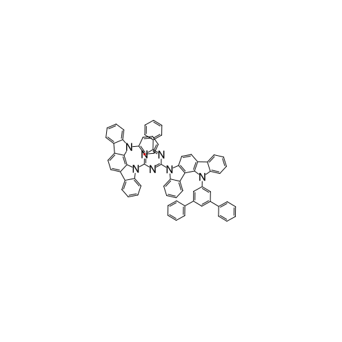 c1ccc(-c2cc(-c3ccccc3)cc(-n3c4ccccc4c4ccc5c(c6ccccc6n5-c5nc(-c6ccccc6)nc(-n6c7ccccc7c7ccc8c9ccccc9n(-c9ccccc9)c8c76)n5)c43)c2)cc1